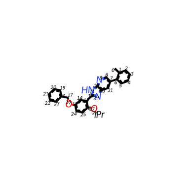 Cc1ccccc1-c1cnc2[nH]c(-c3cc(OCc4ccccc4)ccc3OC(C)C)nc2c1